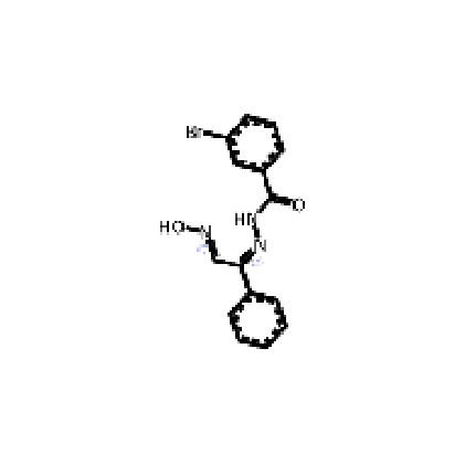 O=C(N/N=C(\C=N\O)c1ccccc1)c1cccc(Br)c1